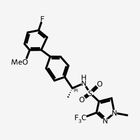 COc1ccc(F)cc1-c1ccc([C@@H](C)NS(=O)(=O)c2cn(C)nc2C(F)(F)F)cc1